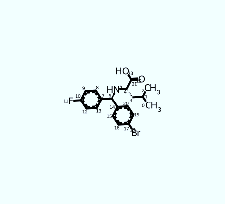 CC(C)C[C@H](N[C@H](c1ccc(F)cc1)c1ccc(Br)cc1)C(=O)O